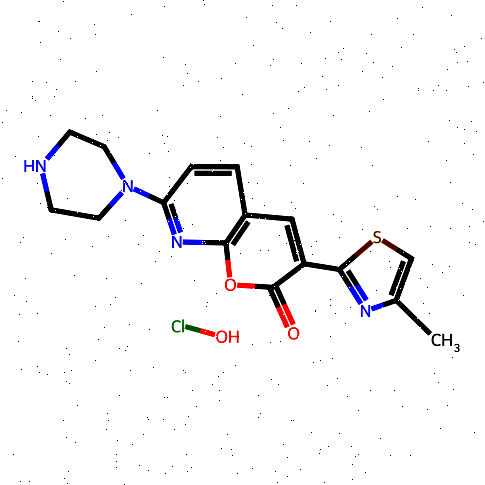 Cc1csc(-c2cc3ccc(N4CCNCC4)nc3oc2=O)n1.OCl